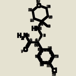 CC1(NC[C@@H](C(N)=O)c2ccc(Cl)cc2)CCOCC1